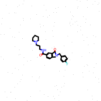 O=C(NCCCN1CCCCC1)c1ccc2c(c1)C(=O)N(Cc1ccc(F)cc1)C2